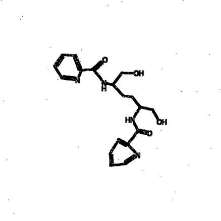 O=C(NC(CO)CCC(CO)NC(=O)c1ccccn1)c1ccccn1